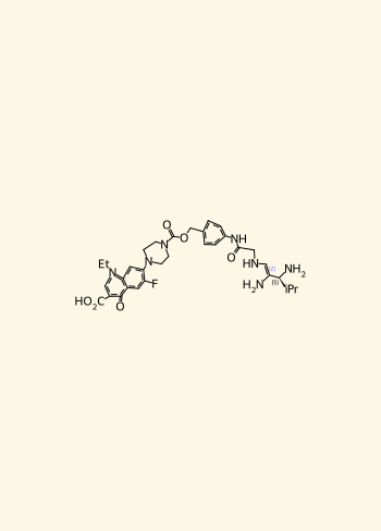 CCn1cc(C(=O)O)c(=O)c2cc(F)c(N3CCN(C(=O)OCc4ccc(NC(=O)CN/C=C(\N)[C@@H](N)C(C)C)cc4)CC3)cc21